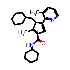 CC1=C(C(=O)NC2CCCCC2)C=C(c2ncccc2C)C1CC1CCCCC1